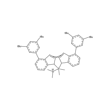 CC1=Cc2c(-c3cc(C(C)(C)C)cc(C(C)(C)C)c3)cccc2[CH]1[Zr]([CH3])([CH3])([CH]1C(C)=Cc2c(-c3cc(C(C)(C)C)cc(C(C)(C)C)c3)cccc21)[SiH](C)C